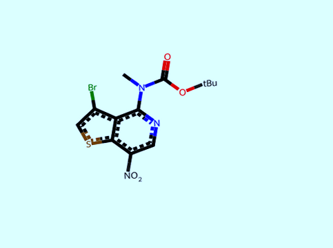 CN(C(=O)OC(C)(C)C)c1ncc([N+](=O)[O-])c2scc(Br)c12